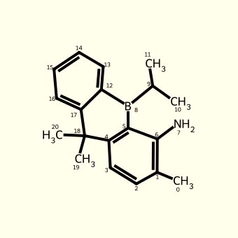 Cc1ccc2c(c1N)B(C(C)C)c1ccccc1C2(C)C